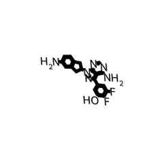 Nc1ccc2c(c1)CC(n1nc(-c3cc(O)c(F)c(F)c3)c3c(N)ncnc31)C2